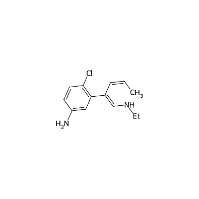 C/C=C\C(=C/NCC)c1cc(N)ccc1Cl